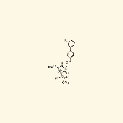 COC(=O)[C@H](NC(=O)[C@H](COCc1ccc(-c2cccc(F)c2)cc1)NC(=O)OC(C)(C)C)C(C)C